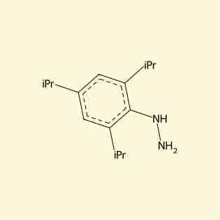 CC(C)c1cc(C(C)C)c(NN)c(C(C)C)c1